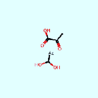 CC(=O)C(=O)O.CC(=O)C(O)O